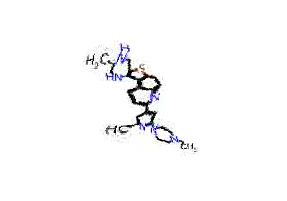 C#Cc1cc(-c2ccc3c(ccc4sc5c(c43)NC[C@@H](C)NC5)n2)cc(N2CCN(CC)CC2)n1